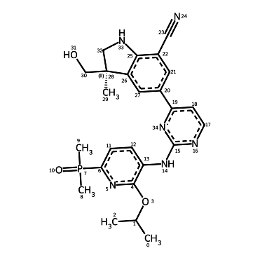 CC(C)Oc1nc(P(C)(C)=O)ccc1Nc1nccc(-c2cc(C#N)c3c(c2)[C@@](C)(CO)CN3)n1